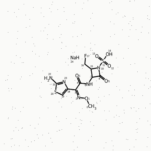 CO/N=C(\C(=O)NC1C(=O)N(S(=O)(=O)O)C1CF)c1csc(N)n1.[NaH]